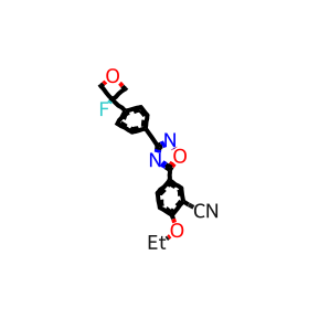 CCOc1ccc(-c2nc(-c3ccc(C4(F)COC4)cc3)no2)cc1C#N